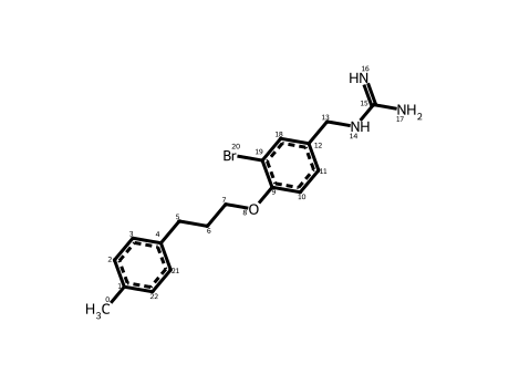 Cc1ccc(CCCOc2ccc(CNC(=N)N)cc2Br)cc1